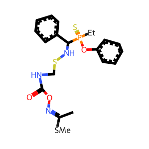 CCP(=S)(Oc1ccccc1)C(NSCNC(=O)ON=C(C)SC)c1ccccc1